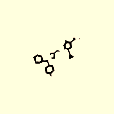 COC(=O)c1cc(C2CC2)c(OCC2CN(C(c3ccccc3)c3ccc(Cl)cc3)C2)cc1F